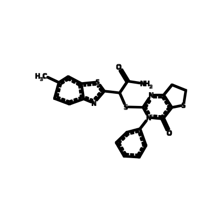 Cc1ccc2nc(C(Sc3nc4c(c(=O)n3-c3ccccc3)SCC4)C(N)=O)sc2c1